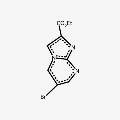 CCOC(=O)c1cn2cc(Br)cnc2n1